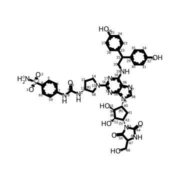 NS(=O)(=O)c1ccc(NC(=O)N[C@@H]2CCN(c3nc(NCC(c4ccc(O)cc4)c4ccc(O)cc4)c4ncn([C@@H]5C[C@H](N6C(=O)NC(CO)C6=O)[C@@H](O)[C@H]5O)c4n3)C2)cc1